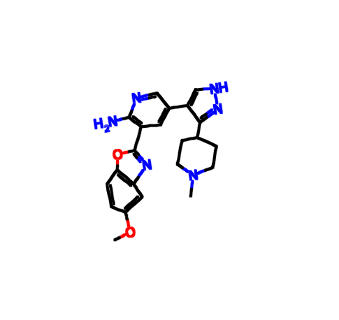 COc1ccc2oc(-c3cc(-c4c[nH]nc4C4CCN(C)CC4)cnc3N)nc2c1